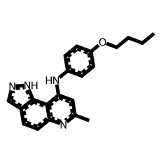 CCCCOc1ccc(Nc2cc(C)nc3ccc4cn[nH]c4c23)cc1